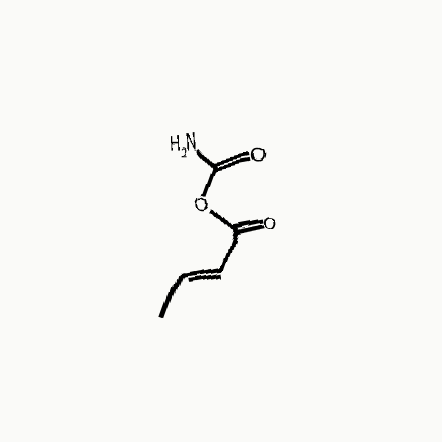 C/C=C/C(=O)OC(N)=O